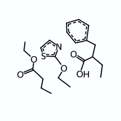 CCC(Cc1ccccc1)C(=O)O.CCCC(=O)OCC.CCOc1nccs1